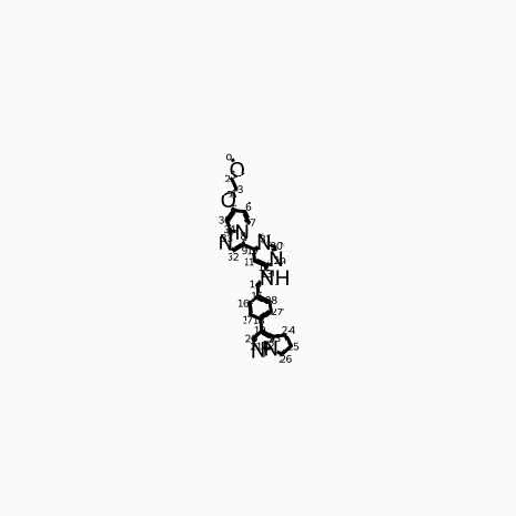 COCCOc1ccn2c(-c3cc(NCc4ccc(-c5cnn6c5CCC6)cc4)ncn3)cnc2c1